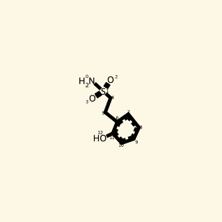 NS(=O)(=O)CCc1ccccc1O